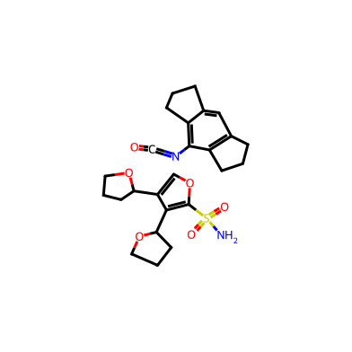 NS(=O)(=O)c1occ(C2CCCO2)c1C1CCCO1.O=C=Nc1c2c(cc3c1CCC3)CCC2